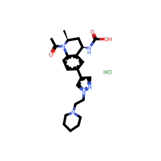 CC(=O)N1c2ccc(-c3cnn(CCN4CCCCC4)c3)cc2[C@H](NC(=O)O)C[C@@H]1C.Cl